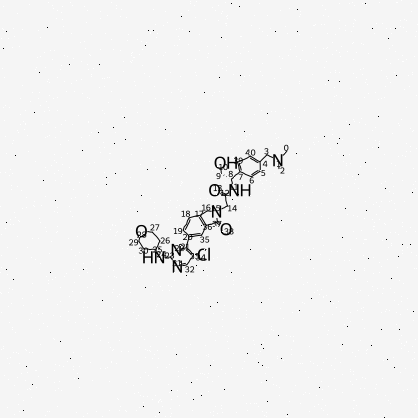 CN(C)Cc1ccc([C@@H](CO)NC(=O)CN2Cc3ccc(-c4nc(NC5CCOCC5)ncc4Cl)cc3C2=O)cc1